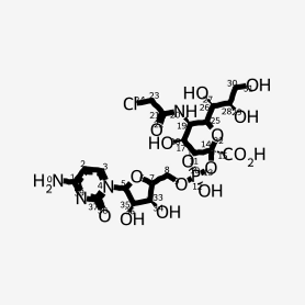 Nc1ccn(C2OC(COP(=O)(O)O[C@@]3(C(=O)O)C[C@@H](O)[C@@H](NC(=O)CCl)C([C@H](O)[C@H](O)CO)O3)[C@@H](O)[C@H]2O)c(=O)n1